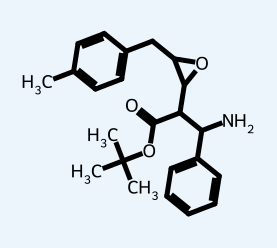 Cc1ccc(CC2OC2C(C(=O)OC(C)(C)C)C(N)c2ccccc2)cc1